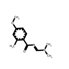 COc1ccc(C(=O)/N=C/N(C)C)c(C)c1